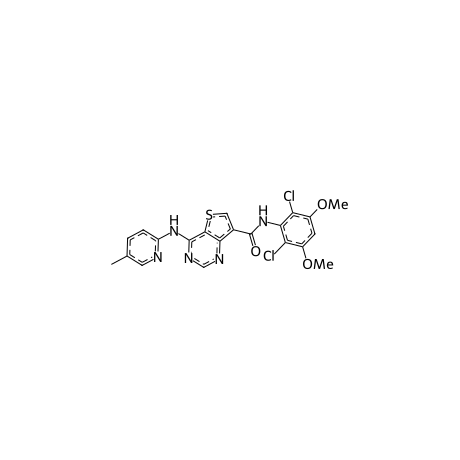 COc1cc(OC)c(Cl)c(NC(=O)c2csc3c(Nc4ccc(C)cn4)ncnc23)c1Cl